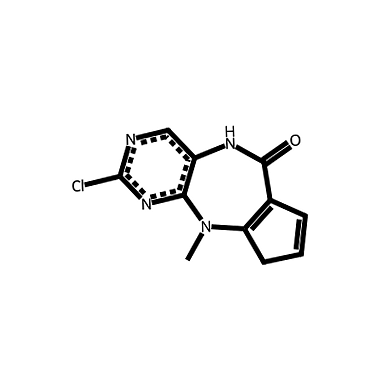 CN1C2=C(C=CC2)C(=O)Nc2cnc(Cl)nc21